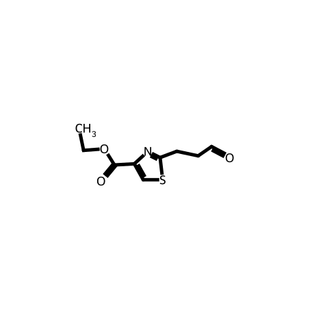 CCOC(=O)c1csc(CCC=O)n1